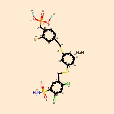 NS(=O)(=O)c1cc(CSc2cccc(SCc3ccc(CP(=O)(OF)OF)c(Br)c3)c2)c(Cl)cc1Cl.[NaH]